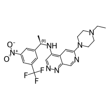 CCN1CCN(c2cc3c(N[C@H](C)c4cc([N+](=O)[O-])cc(C(F)(F)F)c4)cnnc3cn2)CC1